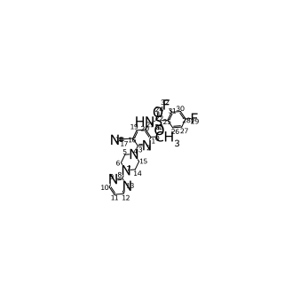 Cc1nc(N2CCN(c3ncccn3)CC2)c(C#N)cc1NS(=O)(=O)c1ccc(F)cc1F